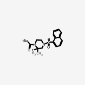 CC(C)(C)C(=O)N1CCN(S(=O)(=O)c2cccc3ccccc23)CC1(C)C